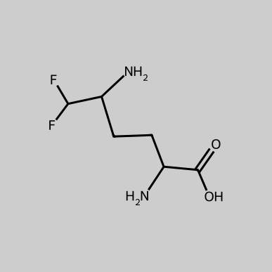 NC(CCC(N)C(F)F)C(=O)O